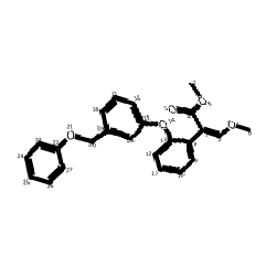 COC=C(C(=O)OC)c1ccccc1Oc1cccc(COc2ccccc2)c1